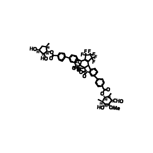 CCC12C(C3=C(C4c5ccc(-c6ccc(C(=O)O[C@@H]7[C@H](C)C[C@H](O)C[C@@H]7O)cc6)cc5S(=O)(=O)C41CC)C(F)(F)C(F)(F)C3(F)F)c1ccc(-c3ccc(C(=O)O[C@H]4[C@H](C)[C@@H](O)[C@H](OC)[C@@H](C=O)[C@@H]4C)cc3)cc1S2(=O)=O